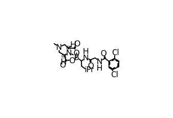 CC(C)CC(NC(=O)CNC(=O)c1cc(Cl)ccc1Cl)B1OC(=O)[C@H]2CN(C)C[C@H](C(=O)O1)N2C